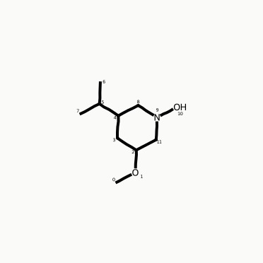 COC1CC(C(C)C)CN(O)C1